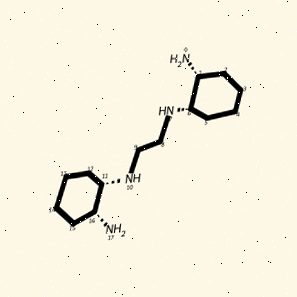 N[C@@H]1CCCC[C@@H]1NCCN[C@H]1CCCC[C@H]1N